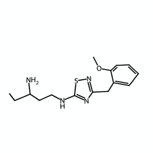 CCC(N)CCNc1nc(Cc2ccccc2OC)ns1